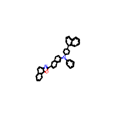 c1ccc(N(c2ccc(-c3cccc4ccccc34)cc2)c2ccc3cc(-c4nc5ccc6ccccc6c5o4)ccc3c2)cc1